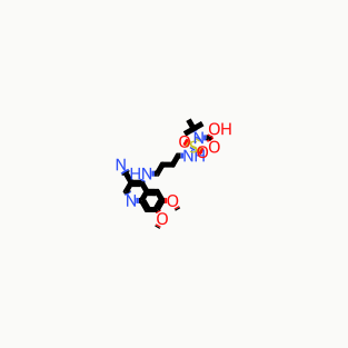 COc1cc2ncc(C#N)c(NCCCCNS(=O)(=O)N(C(=O)O)C(C)(C)C)c2cc1OC